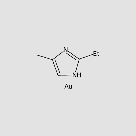 CCc1nc(C)c[nH]1.[Au]